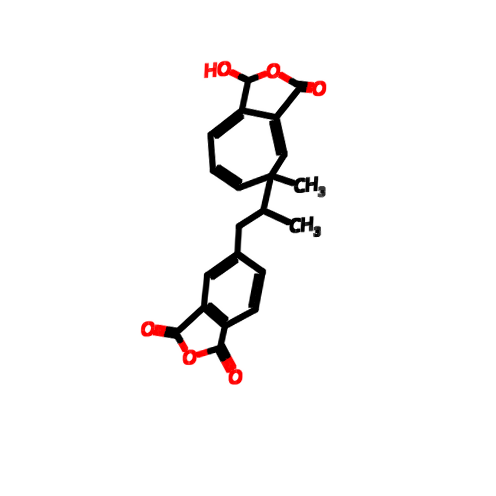 CC(Cc1ccc2c(c1)C(=O)OC2=O)C1(C)C=CC=C2C(=C1)C(=O)OC2O